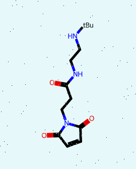 CC(C)(C)NCCNC(=O)CCN1C(=O)C=CC1=O